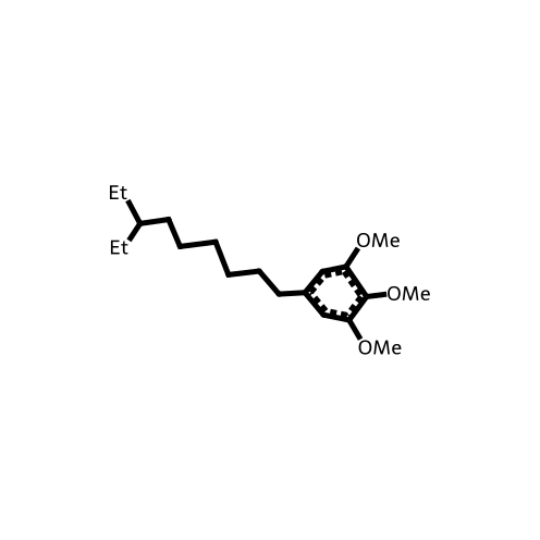 CCC(CC)CCCCCCc1cc(OC)c(OC)c(OC)c1